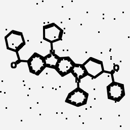 O=C(C1=CC=CCC1)c1ccc2c3cc4c(cc3n(C3C=CC=CC3)c2c1)c1c(n4-c2ccccc2)CC(C(=O)c2ccccc2)C=C1